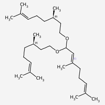 CC(C)=CCC/C(C)=C/C(OCC[C@H](C)CCC=C(C)C)OCC[C@H](C)CCC=C(C)C